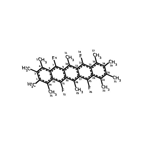 Cc1c(C)c(C)c2c(F)c3c(C)c4c(F)c5c(C)c(C)c(C)c(C)c5c(F)c4c(C)c3c(F)c2c1C